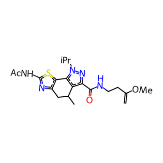 C=C(CCNC(=O)c1nn(C(C)C)c2c1C(C)Cc1nc(NC(C)=O)sc1-2)OC